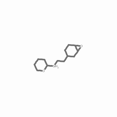 C1CCC([SiH2]CCC2CCC3OC3C2)OC1